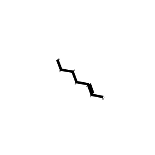 [CH2]/C=C/CCCC